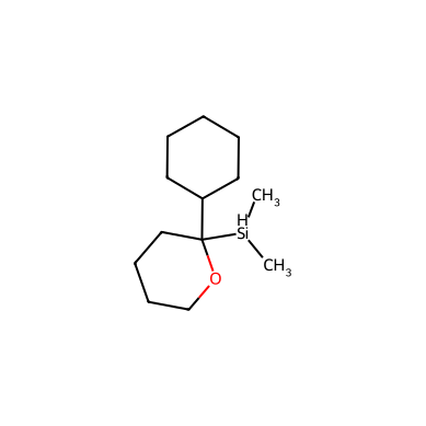 C[SiH](C)C1(C2CCCCC2)CCCCO1